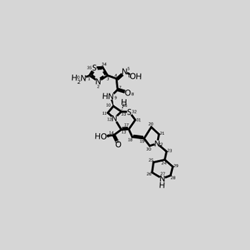 Nc1nc(/C(=N/O)C(=O)N[C@@H]2CN3C(C(=O)O)=C(/C=C4\CCN(CC5CCNCC5)C4)CS[C@H]23)cs1